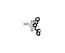 O=C(O)c1c(O)c(Cc2csc3ccccc23)cc2c1NC1=C(CCCC1)C2